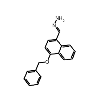 NN=Cc1ccc(OCc2ccccc2)c2ccccc12